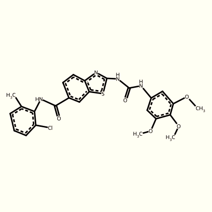 COc1cc(NC(=O)Nc2nc3ccc(C(=O)Nc4c(C)cccc4Cl)cc3s2)cc(OC)c1OC